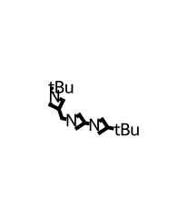 CC(C)(C)C1CN(C2CN(CC3CN(C(C)(C)C)C3)C2)C1